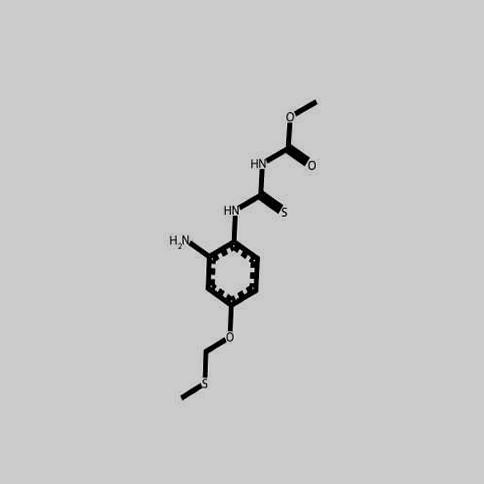 COC(=O)NC(=S)Nc1ccc(OCSC)cc1N